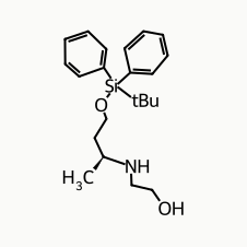 C[C@@H](CCO[Si](c1ccccc1)(c1ccccc1)C(C)(C)C)NCCO